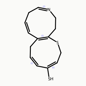 SC1=C/CS/C2=C(/C=CC/C=N\CC2)C/C=C\1